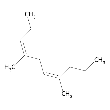 CCC=C(C)CC=C(C)CCC